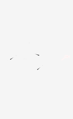 C[C@@]12CCC[C@H]1[C@@H]1CC=C3C(O)=CC=C[C@@H]3[C@H]1CC2